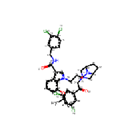 CC(C)Oc1cccc2c(C(=O)NCc3ccc(Cl)c(Cl)c3)cn(CCCN3C4CCC3CN(CC(=O)c3cc(Cl)cc(Cl)c3)C4)c12